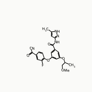 COCC(C)Oc1cc(Oc2ccc(C(=O)C#N)cc2F)cc(C(=O)Nc2cc(C)[nH]n2)c1